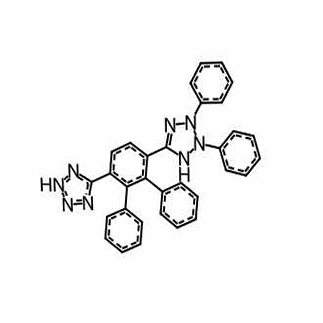 c1ccc(-c2c(C3=NN(c4ccccc4)N(c4ccccc4)N3)ccc(-c3nn[nH]n3)c2-c2ccccc2)cc1